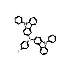 Fc1ccc(N(c2ccc3c(c2)c2ccccc2n3-c2ccccc2)c2ccc3c(c2)c2ccccc2n3-c2ccccc2)cc1